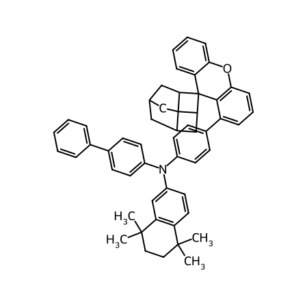 CC1(C)CCC(C)(C)c2cc(N(c3ccc(-c4ccccc4)cc3)c3ccc(-c4cccc5c4C4(c6ccccc6O5)C5CC6CC7CC4C75C6)cc3)ccc21